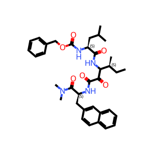 CC[C@H](C)C(NC(=O)[C@H](CC(C)C)NC(=O)OCc1ccccc1)C(=O)C(=O)N[C@@H](Cc1ccc2ccccc2c1)C(=O)N(C)C